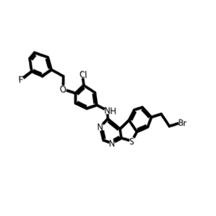 Fc1cccc(COc2ccc(Nc3ncnc4sc5cc(CCBr)ccc5c34)cc2Cl)c1